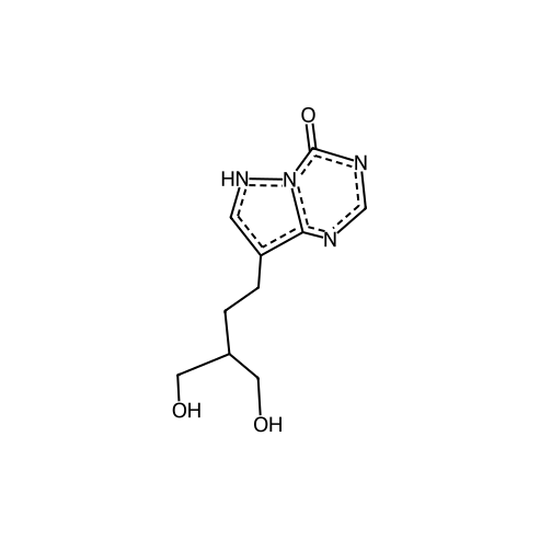 O=c1ncnc2c(CCC(CO)CO)c[nH]n12